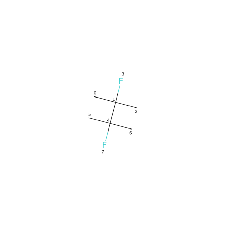 CC(C)(F)C(C)(C)F